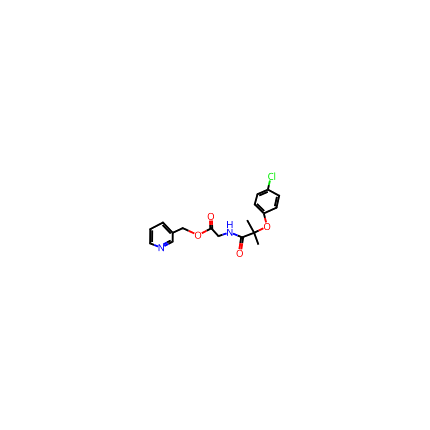 CC(C)(Oc1ccc(Cl)cc1)C(=O)NCC(=O)OCc1cccnc1